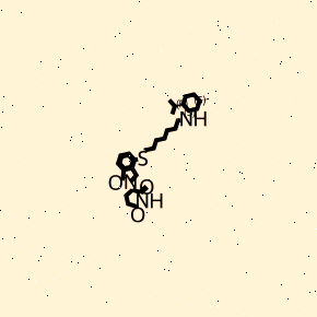 CC(C)[C@H]1CC[C@H](C)C[C@@H]1NCCCCCCCSc1cccc2c1CN(C1CCC(=O)NC1=O)C2=O